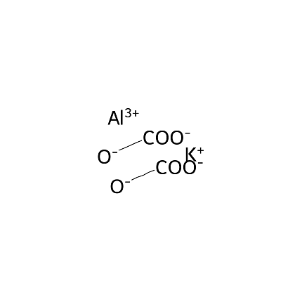 O=C([O-])[O-].O=C([O-])[O-].[Al+3].[K+]